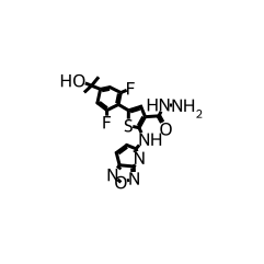 CC(C)(O)c1cc(F)c(-c2cc(C(=O)NN)c(Nc3ccc4nonc4n3)s2)c(F)c1